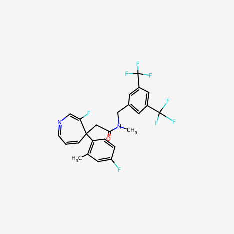 Cc1cc(F)ccc1C1(CC(=O)N(C)Cc2cc(C(F)(F)F)cc(C(F)(F)F)c2)C=CC=NC=C1F